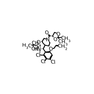 C=CCOc1cc(Cl)c(Cl)c(Cl)c1[C@H](N[S+]([O-])C(C)(C)C)C1CCN(C(=O)[C@H]2COC(C)(C)O2)CC1